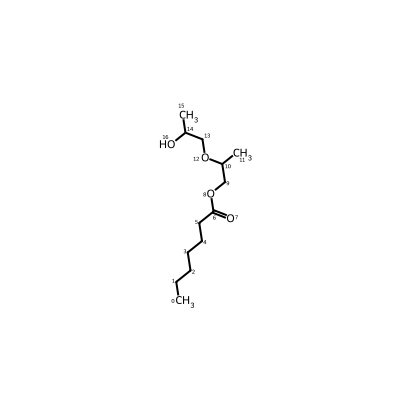 CCCCCCC(=O)OCC(C)OCC(C)O